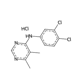 Cc1ncnc(Nc2ccc(Cl)c(Cl)c2)c1C.Cl